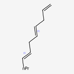 [CH2]CC/C=C/C/C=C/CC=C